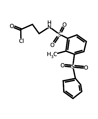 Cc1c(S(=O)(=O)NCCC(=O)Cl)cccc1S(=O)(=O)c1ccccc1